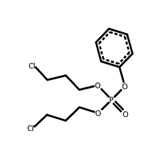 O=P(OCCCCl)(OCCCCl)Oc1ccccc1